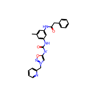 Cc1cc(NC(=O)Cc2ccccc2)cc(NC(=O)[N-]c2c[n+](Cc3ccccn3)no2)c1